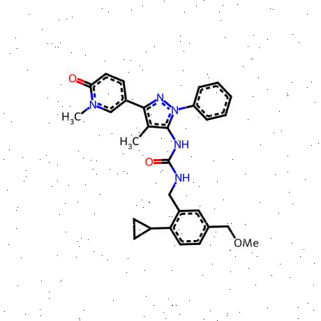 COCc1ccc(C2CC2)c(CNC(=O)Nc2c(C)c(-c3ccc(=O)n(C)c3)nn2-c2ccccc2)c1